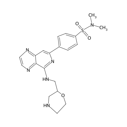 CN(C)S(=O)(=O)c1ccc(-c2cc3nccnc3c(NCC3CNCCO3)n2)cc1